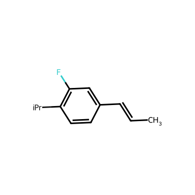 C/C=C/c1ccc(C(C)C)c(F)c1